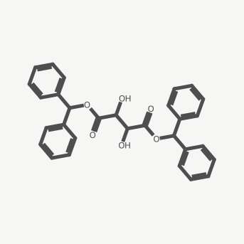 O=C(OC(c1ccccc1)c1ccccc1)C(O)C(O)C(=O)OC(c1ccccc1)c1ccccc1